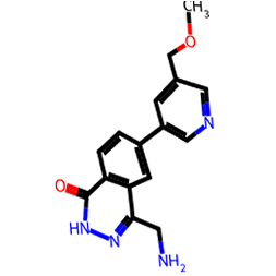 COCc1cncc(-c2ccc3c(=O)[nH]nc(CN)c3c2)c1